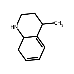 CC1CCNC2CC=CC=C12